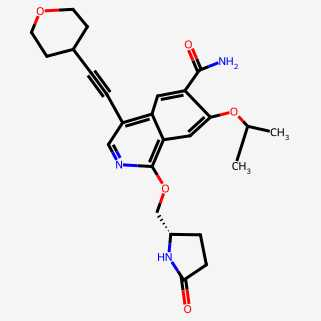 CC(C)Oc1cc2c(OC[C@@H]3CCC(=O)N3)ncc(C#CC3CCOCC3)c2cc1C(N)=O